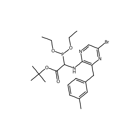 CCOP(OCC)C(Nc1ncc(Br)nc1Cc1cccc(C)c1)C(=O)OC(C)(C)C